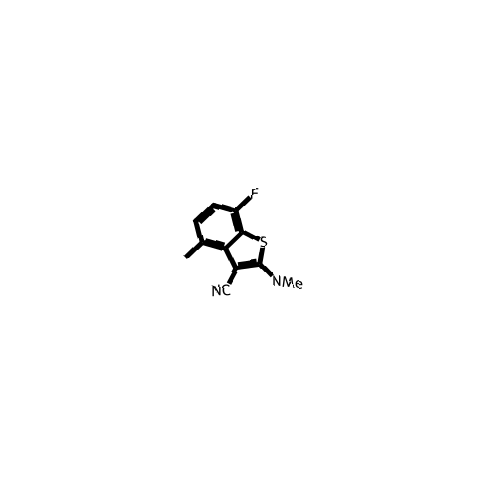 CNc1sc2c(F)ccc(C)c2c1C#N